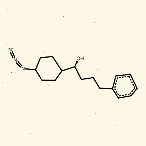 [N-]=[N+]=NC1CCC([C@@H](O)CCCc2ccccc2)CC1